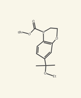 CCOC(C)(C)c1ccc2c(c1)OCCN2C(=O)OC(C)(C)C